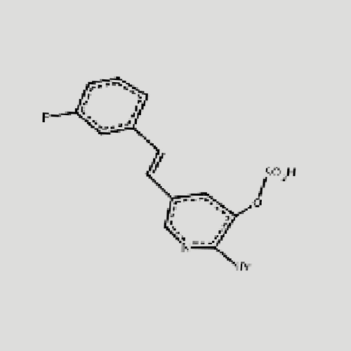 CC(C)c1ncc(C=Cc2cccc(F)c2)cc1OS(=O)(=O)O